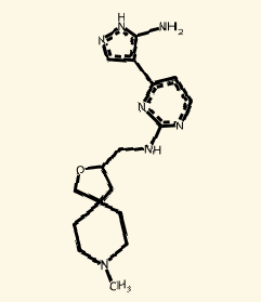 CN1CCC2(CC1)COC(CNc1nccc(-c3cn[nH]c3N)n1)C2